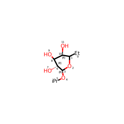 CCC1O[C@@H](OC(C)C)[C@H](O)C(O)[C@H]1O